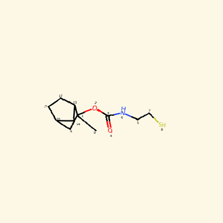 CC1(OC(=O)NCCS)CC2CCC1C2